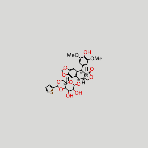 COc1cc([C@@H]2c3cc4c(cc3[C@@H](OC3O[C@H]5COC(c6cccs6)OC5C(O)C3O)[C@H]3COC(=O)[C@H]23)OCO4)cc(OC)c1O